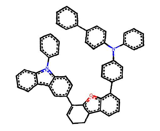 C1=C(c2ccc3c(c2)c2ccccc2n3-c2ccccc2)c2oc3c(-c4ccc(N(c5ccccc5)c5ccc(-c6ccccc6)cc5)cc4)cccc3c2CC1